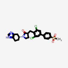 CS(=O)(=O)c1ccc(-c2cc(Cl)c(CC3CCN([C@@H]4CCc5[nH]cnc5C4)C3=O)c(Cl)c2)cc1